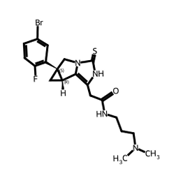 CN(C)CCCNC(=O)Cc1[nH]c(=S)n2c1[C@@H]1C[C@]1(c1cc(Br)ccc1F)C2